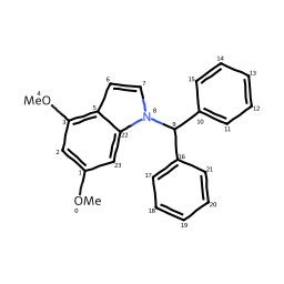 COc1cc(OC)c2ccn(C(c3ccccc3)c3ccccc3)c2c1